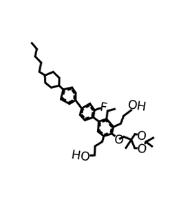 CCCCCC1CCC(c2ccc(-c3ccc(-c4cc(CCCO)c(OCC5(C)COC(C)(C)OC5)c(CCCO)c4CC)c(F)c3)cc2)CC1